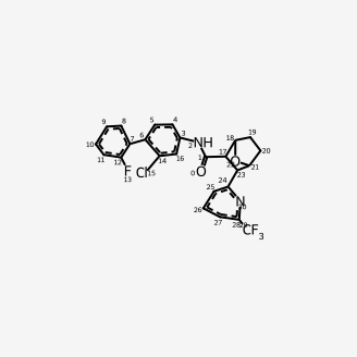 O=C(Nc1ccc(-c2ccccc2F)c(Cl)c1)C1C2CCC(O2)C1c1cccc(C(F)(F)F)n1